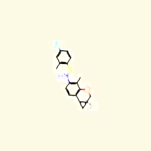 Cc1cc(F)ccc1SNc1ccc2c(c1C)OC[C@@H]1CC21